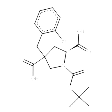 CC(C)(C)OC(=O)N1CC(Cc2ccccc2Br)(C(=O)O)C[C@H]1C(=O)O